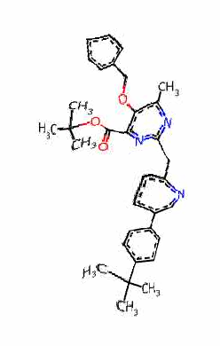 Cc1nc(Cc2ccc(-c3ccc(C(C)(C)C)cc3)cn2)nc(C(=O)OC(C)(C)C)c1OCc1ccccc1